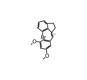 COc1cc(/C=C2/CCc3cccc(Br)c32)cc(OC)c1